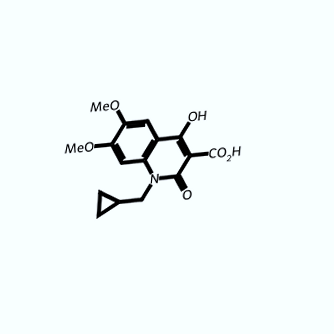 COc1cc2c(O)c(C(=O)O)c(=O)n(CC3CC3)c2cc1OC